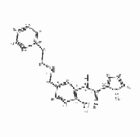 O=C(Nc1cc(CNCCc2ccccc2)ccc1Cl)c1ccco1